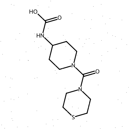 O=C(O)NC1CCN(C(=O)N2CCSCC2)CC1